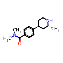 C[C@@H]1C[C@@H](c2ccc(C(=O)N(C)C)cc2)CCN1